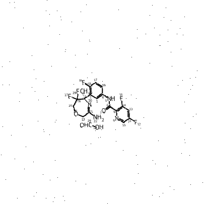 C[C@]1(c2cc(NC(=O)c3ncc(F)cc3F)ccc2F)N=C(N)COCC1(F)F.O=CO